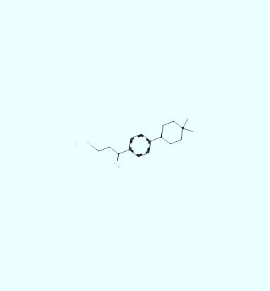 CC1(C)CCC(c2ccc(C(N)CCN)cc2)CC1